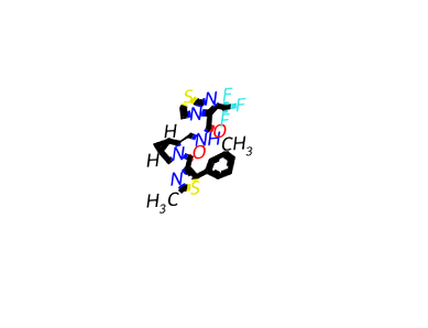 Cc1cccc(-c2sc(C)nc2C(=O)N2C[C@@H]3C[C@@H]3[C@H]2CNC(=O)c2c(C(F)(F)F)nc3sccn23)c1